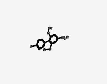 CCCOc1cc(C(=O)OCC)cc(OCC)c1-c1ccc(F)cc1